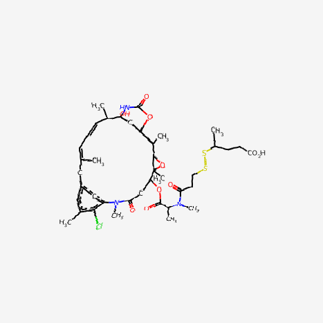 C/C1=C\C=C\C(C)C2(O)CC(OC(=O)N2)C(C)C2OC2(C)C(OC(=O)C(C)N(C)C(=O)CCSSC(C)CCC(=O)O)CC(=O)N(C)c2cc(cc(C)c2Cl)C1